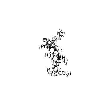 CC(C)C1=C2[C@H]3CCC4[C@@]5(C)CC[C@H](OC(=O)CC(C)(C)C(=O)O)C(C)(C)[C@H]5CC[C@@]4(C)[C@]3(C)CC[C@@]2(CCNCc2nccs2)CC1=O